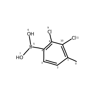 Cc1ccc(B(O)O)c(Cl)c1Cl